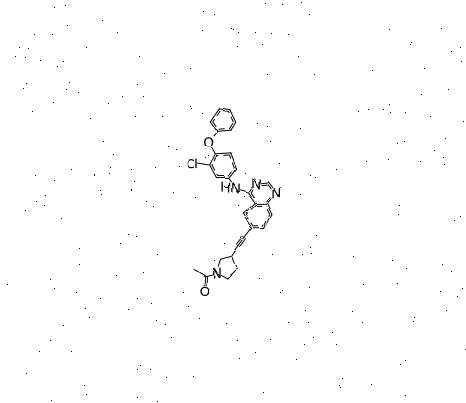 CC(=O)N1CCC(C#Cc2ccc3ncnc(Nc4ccc(Oc5ccccc5)c(Cl)c4)c3c2)C1